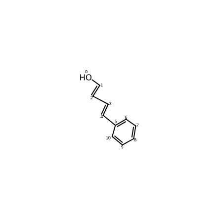 OC=CC=Cc1ccccc1